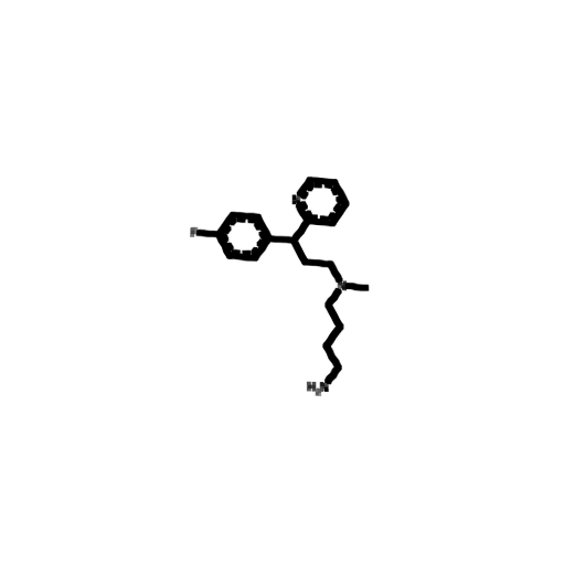 CN(CCCCN)CCC(c1ccc(F)cc1)c1ccccn1